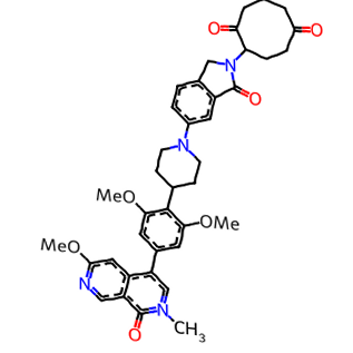 COc1cc2c(-c3cc(OC)c(C4CCN(c5ccc6c(c5)C(=O)N(C5CCC(=O)CCCC5=O)C6)CC4)c(OC)c3)cn(C)c(=O)c2cn1